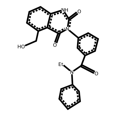 CCN(C(=O)c1cccc(-n2c(=O)[nH]c3cccc(CO)c3c2=O)c1)c1ccccc1